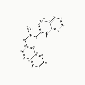 CCCCN(CC(=O)Nc1ccccc1C)Cc1ccc2ccccc2c1